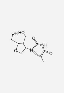 Cc1cn(C2COC(CO)C2CO)c(=O)[nH]c1=O